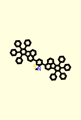 c1ccc(-c2c(-c3ccccc3)c(-c3ccccc3)c3c(c2-c2ccccc2)-c2cccc4c(-c5ccc(-c6ccc7c8c(cccc68)-c6c(-c8ccccc8)c(-c8ccccc8)c(-c8ccccc8)c(-c8ccccc8)c6-7)c6scnc56)ccc-3c24)cc1